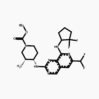 C[C@@H]1CN(C(=O)OC(C)(C)C)CC[C@@H]1Nc1ncc2cc(C(F)F)nc(NC3CCCC3(F)F)c2n1